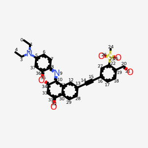 CCN(CC)c1ccc2nc3c4cc(C#Cc5ccc(C=O)c(S(C)(=O)=O)c5)ccc4c(=O)cc-3oc2c1